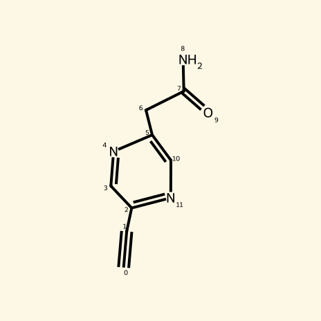 C#Cc1cnc(CC(N)=O)cn1